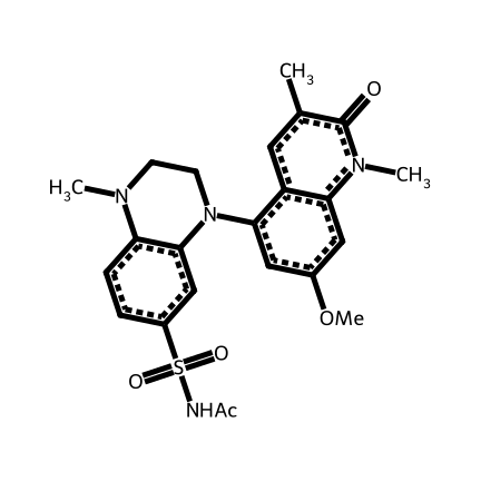 COc1cc(N2CCN(C)c3ccc(S(=O)(=O)NC(C)=O)cc32)c2cc(C)c(=O)n(C)c2c1